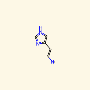 [N]C=Cc1c[nH]cn1